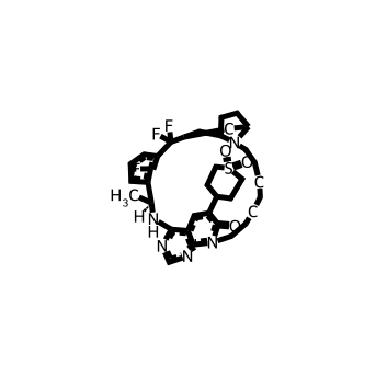 C[C@@H]1Nc2ncnc3c2cc(C2CCS(=O)(=O)CC2)c(=O)n3CCCCCCCN2C3CCC2CC(C3)C(F)(F)c2cccc1c2F